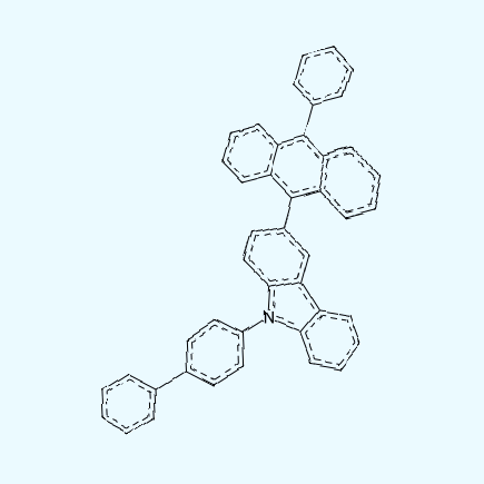 c1ccc(-c2ccc(-n3c4ccccc4c4cc(-c5c6ccccc6c(-c6ccccc6)c6ccccc56)ccc43)cc2)cc1